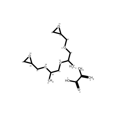 C=C(C)C(=O)O.CC(COCC1CO1)OCC(C)OCC1CO1